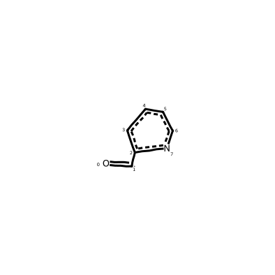 O=[C]c1[c]cccn1